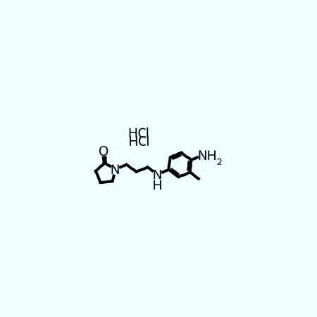 Cc1cc(NCCCN2CCCC2=O)ccc1N.Cl.Cl